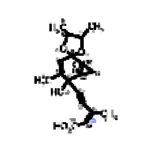 CC1=CC2(OC(C)C(C)O2)C2CC2(C)C1(O)C#C/C(C)=C\C(=O)O